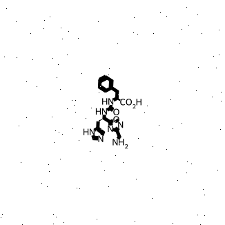 NCc1noc([C@H](Cc2cnc[nH]2)NC(=O)N[C@@H](Cc2cc#ccc2)C(=O)O)n1